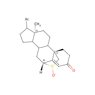 CC(=O)C1CCC2C3C[C@@H]4C5=CC(=O)CC[C@]5(C[S+]4[O-])C3CC[C@]12C